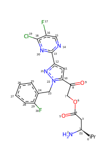 CC(C)[C@@H](N)CC(=O)OCC(=O)c1cc(-c2ncc(F)c(Cl)n2)nn1Cc1ccccc1F